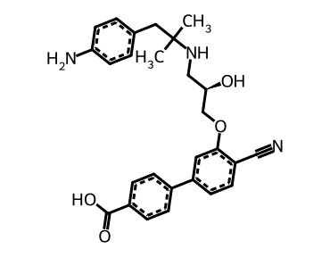 CC(C)(Cc1ccc(N)cc1)NC[C@@H](O)COc1cc(-c2ccc(C(=O)O)cc2)ccc1C#N